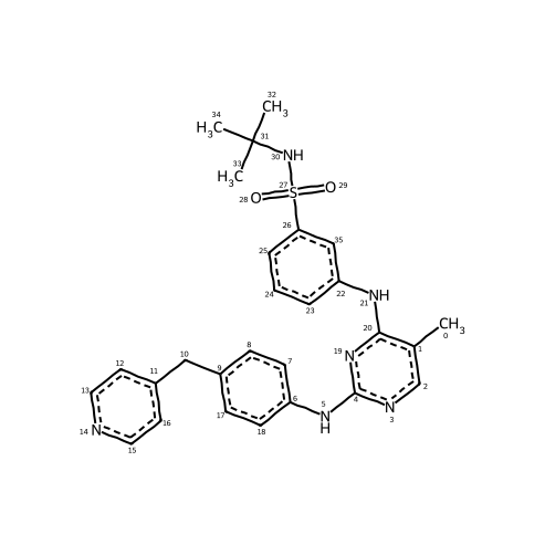 Cc1cnc(Nc2ccc(Cc3ccncc3)cc2)nc1Nc1cccc(S(=O)(=O)NC(C)(C)C)c1